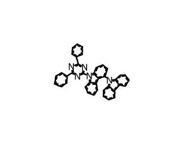 c1ccc(-c2nc(-c3ccccc3)nc(-n3c4ccccc4c4c(-n5c6ccccc6c6ccccc65)cccc43)n2)cc1